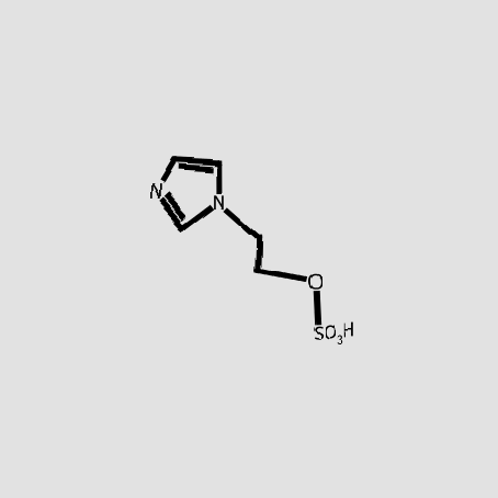 O=S(=O)(O)OCCn1ccnc1